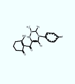 [2H]C1=C(C(=O)C2=C(O)CCCC2=O)NN(C)C([2H])N1c1ccc(F)cc1